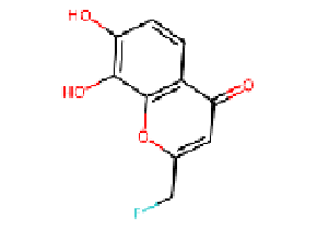 O=c1cc(CF)oc2c(O)c(O)ccc12